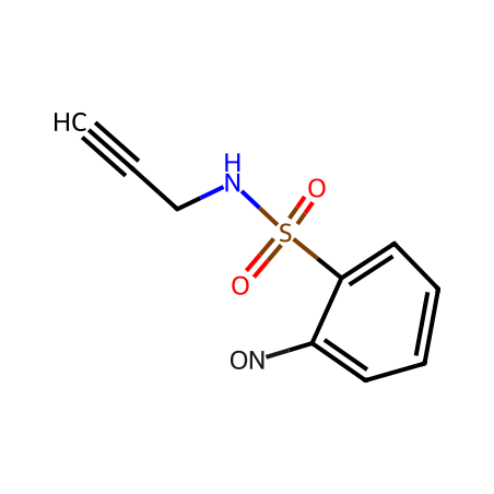 C#CCNS(=O)(=O)c1ccccc1N=O